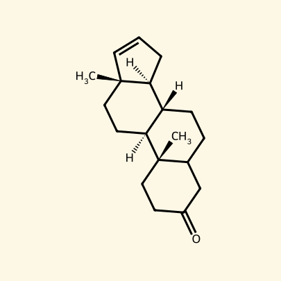 C[C@@]12C=CC[C@H]1[C@@H]1CCC3CC(=O)CC[C@]3(C)[C@H]1CC2